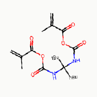 C=C(C)C(=O)OC(=O)NC(CCCC)(NC(=O)OC(=O)C(=C)C)C(C)(C)C